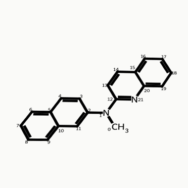 CN(c1ccc2ccccc2c1)c1ccc2ccccc2n1